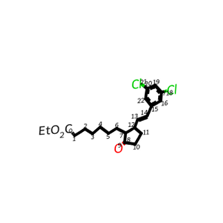 CCOC(=O)CCCCCCC1C(=O)CCC1C=Cc1cc(Cl)cc(Cl)c1